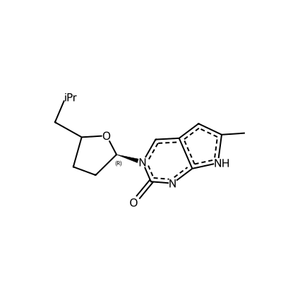 Cc1cc2cn([C@H]3CCC(CC(C)C)O3)c(=O)nc2[nH]1